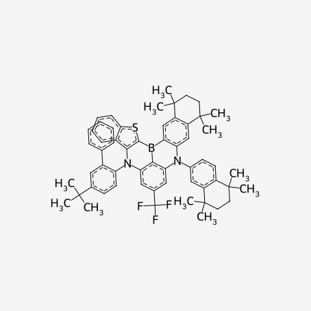 CC(C)(C)c1ccc(N2c3cc(C(F)(F)F)cc4c3B(c3cc5c(cc3N4c3ccc4c(c3)C(C)(C)CCC4(C)C)C(C)(C)CCC5(C)C)c3sc4ccccc4c32)c(-c2ccccc2)c1